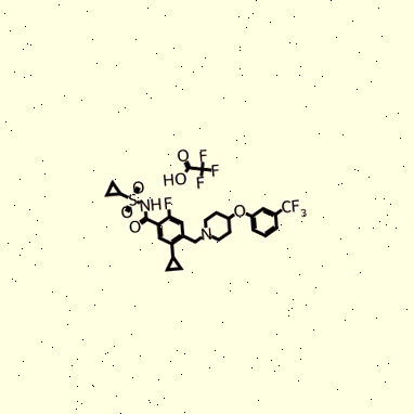 O=C(NS(=O)(=O)C1CC1)c1cc(C2CC2)c(CN2CCC(Oc3cccc(C(F)(F)F)c3)CC2)cc1F.O=C(O)C(F)(F)F